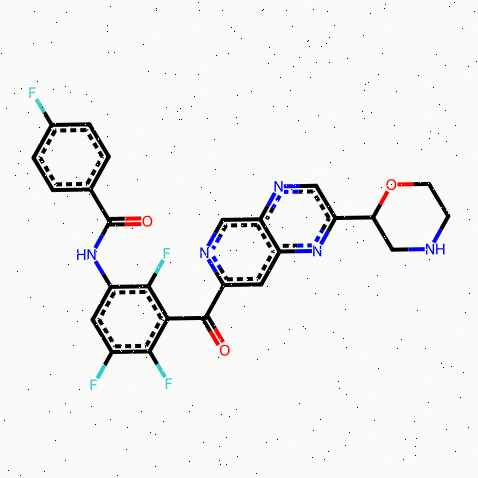 O=C(Nc1cc(F)c(F)c(C(=O)c2cc3nc(C4CNCCO4)cnc3cn2)c1F)c1ccc(F)cc1